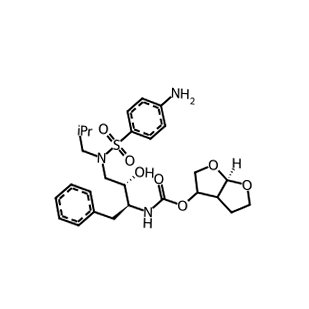 CC(C)CN(C[C@H](O)[C@H](Cc1ccccc1)NC(=O)OC1CO[C@H]2OCCC12)S(=O)(=O)c1ccc(N)cc1